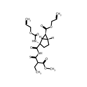 C=CCOC(=O)N[C@@]1(C(=O)NC(=S)C(CC)C(=O)OC)CC[C@H]2[C@H](C(=O)OCC=C)[C@H]21